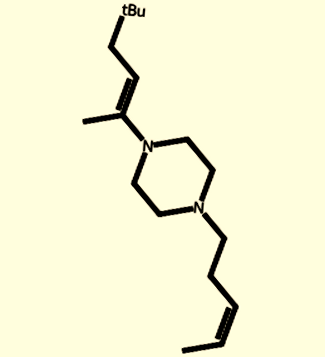 C/C=C\CCN1CCN(/C(C)=C/CC(C)(C)C)CC1